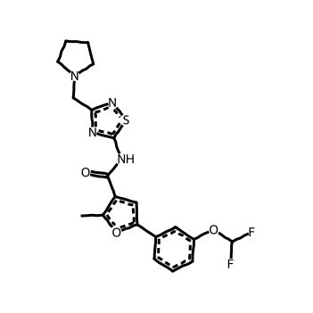 Cc1oc(-c2cccc(OC(F)F)c2)cc1C(=O)Nc1nc(CN2CCCC2)ns1